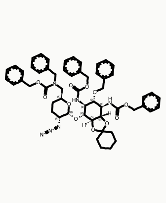 [N-]=[N+]=N[C@@H]1CC[C@@H](CN(Cc2ccccc2)C(=O)OCc2ccccc2)O[C@@H]1O[C@@H]1[C@@H](NC(=O)OCc2ccccc2)[C@H](OCc2ccccc2)[C@@H](NC(=O)OCc2ccccc2)[C@@H]2OC3(CCCCC3)O[C@@H]12